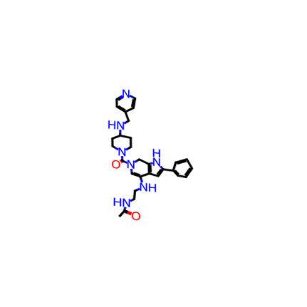 CC(=O)NCCNC1=CN(C(=O)N2CCC(NCc3ccncc3)CC2)Cc2[nH]c(-c3ccccc3)cc21